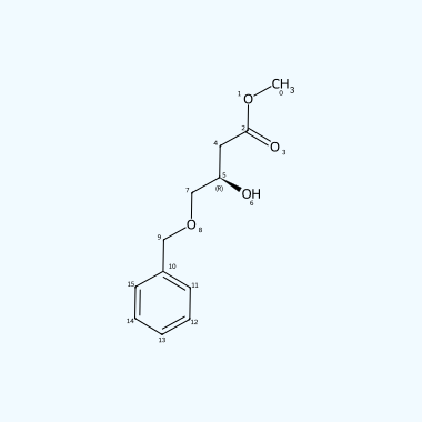 COC(=O)C[C@@H](O)COCc1ccccc1